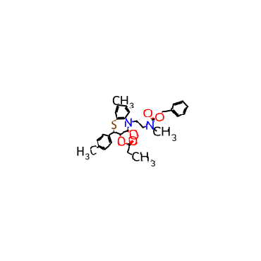 CCC(=O)OC1C(=O)N(CCN(C)C(=O)OCc2ccccc2)c2ccc(C)cc2SC1c1ccc(C)cc1